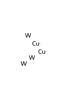 [Cu].[Cu].[W].[W].[W]